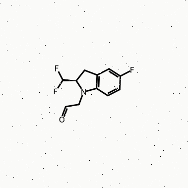 O=CCN1c2ccc(F)cc2C[C@@H]1C(F)F